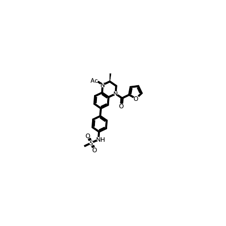 CC(=O)N1c2ccc(-c3ccc(NS(C)(=O)=O)cc3)cc2N(C(=O)c2ccco2)C[C@@H]1C